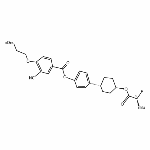 CCCCCCCCCCCCOc1ccc(C(=O)Oc2ccc([C@H]3CC[C@H](OC(=O)[C@@H](F)CCCC)CC3)cc2)cc1C#N